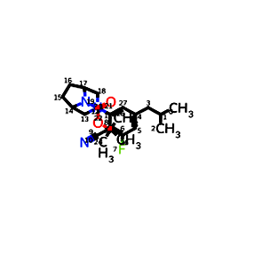 CC(C)Cc1cc(F)c(C#N)c(N2CC3CCC(C2)N3C(=O)OC(C)(C)C)c1